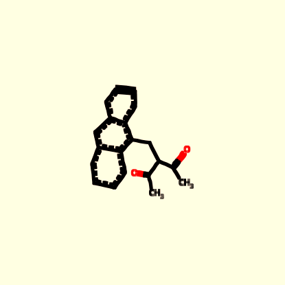 CC(=O)C(Cc1c2cc#ccc2cc2ccccc12)C(C)=O